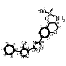 CC(C)(C)[Si](C)(C)O[C@H]1c2ccc(-c3noc(-c4onc(-c5ccccc5)c4C(F)(F)F)n3)cc2OC[C@H]1N